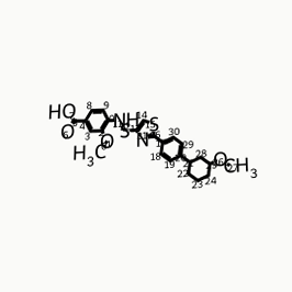 COc1cc(C(=O)O)ccc1NSc1csc(-c2ccc(C3CCCC(OC)C3)cc2)n1